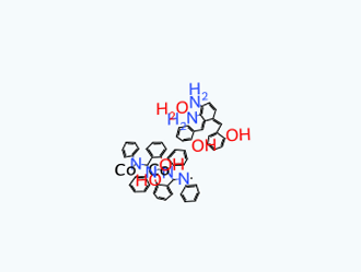 Nc1ccc(=Cc2ccccc2O)c(=Cc2ccccc2O)c1N.O.Oc1ccccc1C([N]c1ccccc1)[N]([Co][N](c1ccccc1)C(c1ccccc1O)[N]([Co])c1ccccc1)c1ccccc1